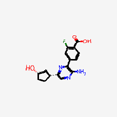 Nc1ncc([C@@H]2CC[C@H](O)C2)nc1-c1ccc(C(=O)O)c(F)c1